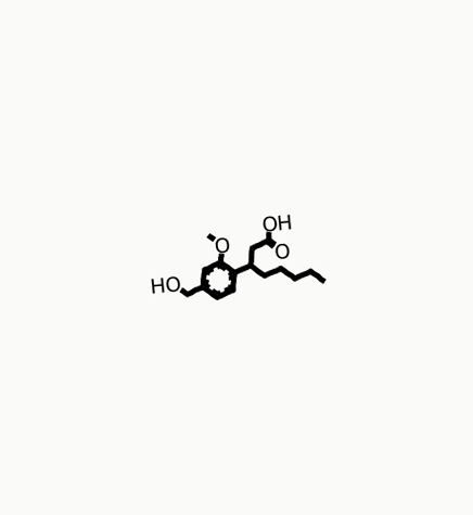 CCCCCC(CC(=O)O)c1ccc(CO)cc1OC